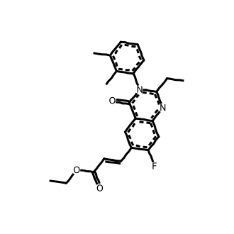 CCOC(=O)C=Cc1cc2c(=O)n(-c3cccc(C)c3C)c(CC)nc2cc1F